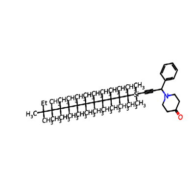 CCC(C)(C)C(C)(C)C(C)(C)C(C)(C)C(C)(C)C(C)(C)C(C)(C)C(C)(C)C(C)(C)C(C)(C)C(C)(C)[Si](C)(C)C#CC(c1ccccc1)N1CCC(=O)CC1